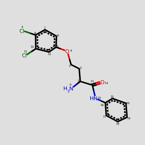 NC(CCOc1ccc(Cl)c(Cl)c1)C(=O)Nc1ccccc1